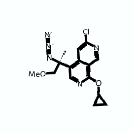 COC[C@@](C)(N=[N+]=[N-])c1cnc(OC2CC2)c2cnc(Cl)cc12